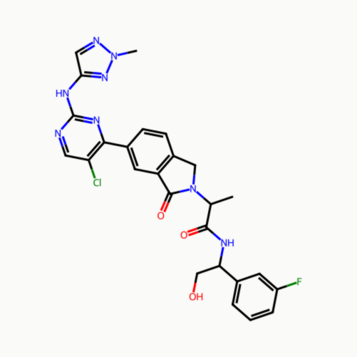 CC(C(=O)NC(CO)c1cccc(F)c1)N1Cc2ccc(-c3nc(Nc4cnn(C)n4)ncc3Cl)cc2C1=O